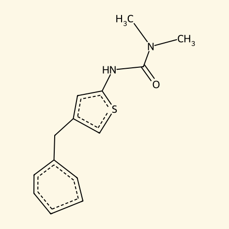 CN(C)C(=O)Nc1cc(Cc2ccccc2)cs1